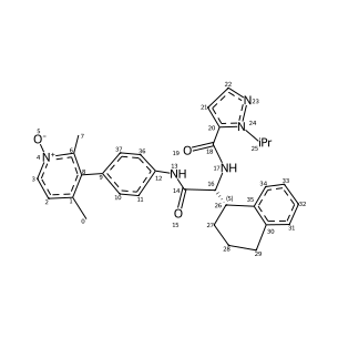 Cc1cc[n+]([O-])c(C)c1-c1ccc(NC(=O)C(NC(=O)c2ccnn2C(C)C)[C@H]2CCCc3ccccc32)cc1